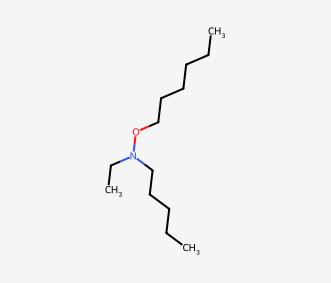 CCCCCCON(CC)CCCCC